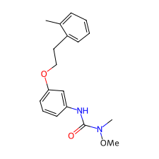 CON(C)C(=O)Nc1cccc(OCCc2ccccc2C)c1